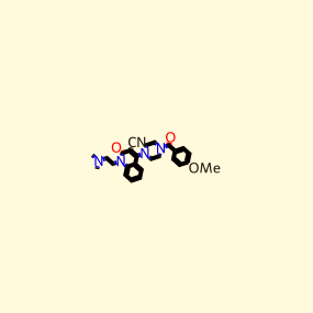 COc1ccc(C(=O)N2CCN(c3c(C#N)c(=O)n(CCN(C)C)c4ccccc34)CC2)cc1